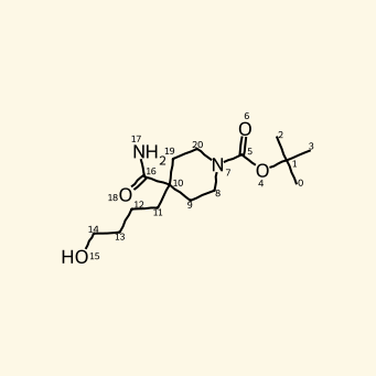 CC(C)(C)OC(=O)N1CCC(CCCCO)(C(N)=O)CC1